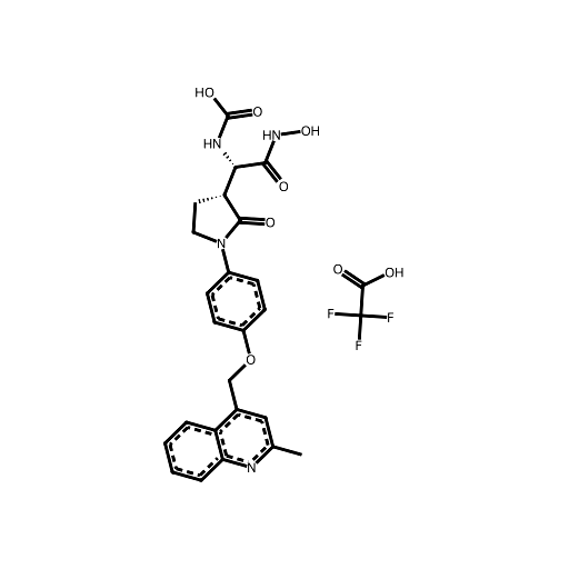 Cc1cc(COc2ccc(N3CC[C@H]([C@H](NC(=O)O)C(=O)NO)C3=O)cc2)c2ccccc2n1.O=C(O)C(F)(F)F